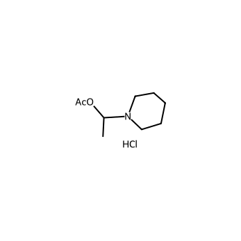 CC(=O)OC(C)N1CCCCC1.Cl